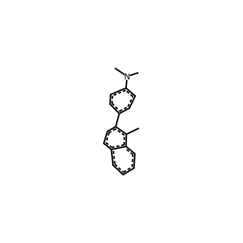 Cc1c(-c2ccc(N(C)C)cc2)ccc2ccccc12